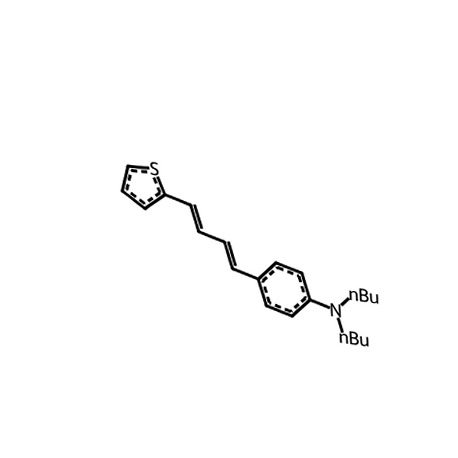 CCCCN(CCCC)c1ccc(C=CC=Cc2cccs2)cc1